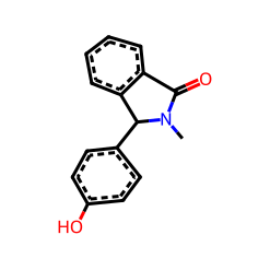 CN1C(=O)c2ccccc2C1c1ccc(O)cc1